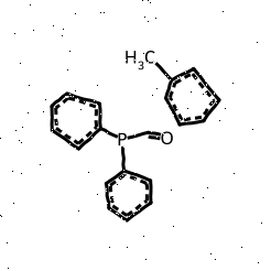 Cc1ccccc1.O=CP(c1ccccc1)c1ccccc1